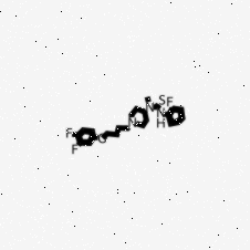 CN(C(=S)Nc1ccccc1F)C1CCN(CCCCOc2ccc(F)c(F)c2)CC1